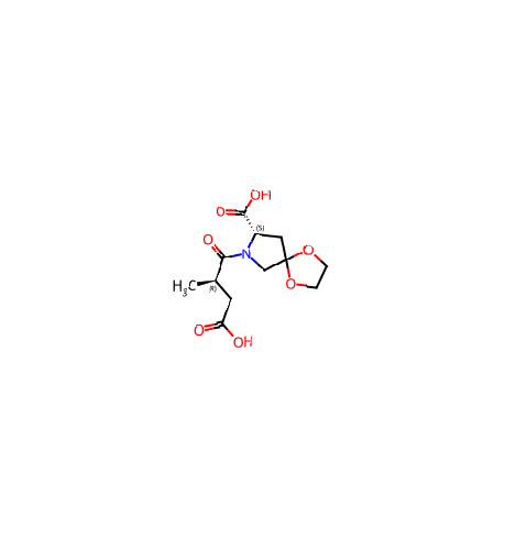 C[C@H](CC(=O)O)C(=O)N1CC2(C[C@H]1C(=O)O)OCCO2